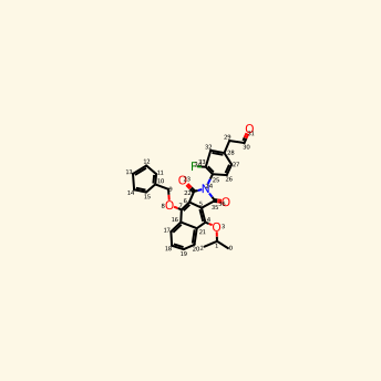 CC(C)Oc1c2c(c(OCc3ccccc3)c3ccccc13)C(=O)N(c1ccc(CC=O)cc1F)C2=O